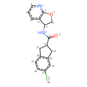 O=C(NC1COc2ncccc21)C1Cc2ccc(Cl)cc2C1